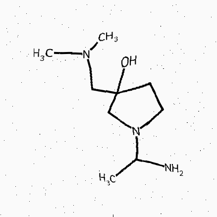 CC(N)N1CCC(O)(CN(C)C)C1